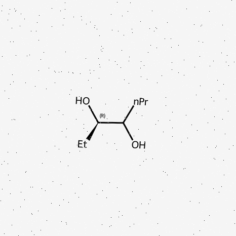 CCCC(O)[C@H](O)CC